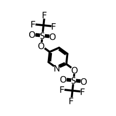 O=S(=O)(Oc1ccc(OS(=O)(=O)C(F)(F)F)nc1)C(F)(F)F